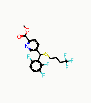 COC(=O)c1ccc(C(SCCCC(F)(F)F)c2c(F)ccc(F)c2F)cn1